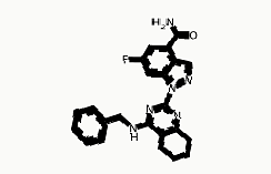 NC(=O)c1cc(F)cc2c1cnn2-c1nc2c(c(NCc3ccccc3)n1)CCCC2